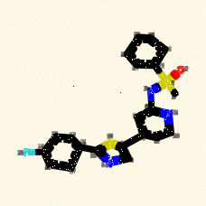 CS(=O)(=Nc1cc(-c2cnc(-c3ccc(F)cc3)s2)ccn1)c1ccccc1